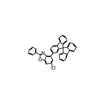 Clc1cc(-c2ccc3c(c2)C2(c4ccccc4-c4ccccc42)c2ccccc2-3)c2nc(-c3ccccc3)oc2c1